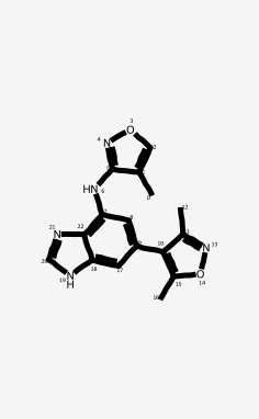 Cc1conc1Nc1cc(-c2c(C)noc2C)cc2[nH]cnc12